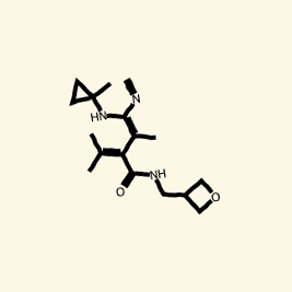 C=N/C(NC1(C)CC1)=C(\C)C(C(=O)NCC1COC1)=C(C)C